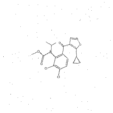 COC(=O)N(c1c(C(=O)c2cnoc2C2CC2)ccc(Cl)c1Cl)C(C)C